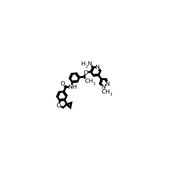 CC(Oc1cc(-c2cnn(C)c2)cnc1N)c1cccc(NC(=O)c2ccc3c(c2)C2(CC2)CO3)c1